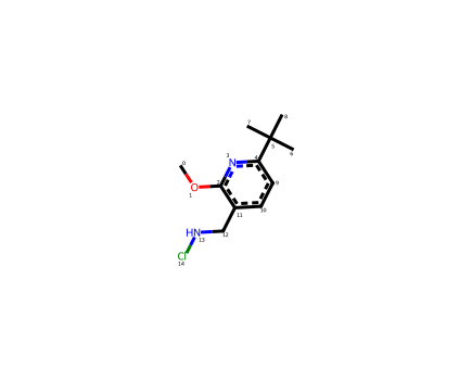 COc1nc(C(C)(C)C)ccc1CNCl